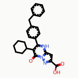 O=C(O)c1cc2[nH]c(-c3ccc(Cc4ccccc4)cc3)c(C3CCCCC3)c(=O)n2n1